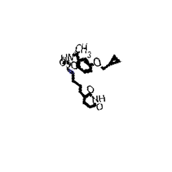 C[C@@H](NS(=O)(=O)/C=C/CCCC1CCC(=O)NC1=O)c1cccc(OCC2CC2)c1